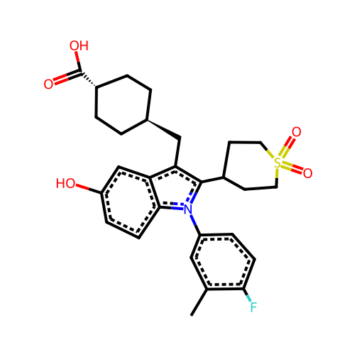 Cc1cc(-n2c(C3CCS(=O)(=O)CC3)c(C[C@H]3CC[C@H](C(=O)O)CC3)c3cc(O)ccc32)ccc1F